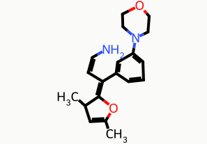 CC1=CC(C)/C(=C(\C=C/N)c2cccc(N3CCOCC3)c2)O1